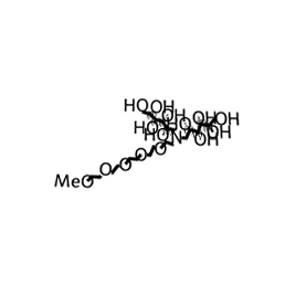 COCCOCCOCCOCCOCCN(C[C@H](O)[C@@H](O)[C@H](O)[C@H](O)CO)C[C@H](O)[C@@H](O)[C@H](O)[C@H](O)CO